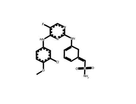 COc1ccc(Nc2nc(NC3=CC=CC(=CS(N)(=O)=O)C3)ncc2F)cc1Cl